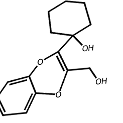 OCC1=C(C2(O)CCCCC2)Oc2ccccc2O1